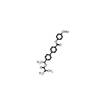 C=C(C)C(=O)OC(C)c1ccc(-c2ccc(C(=O)Oc3ccc(OC)cc3)cc2)cc1